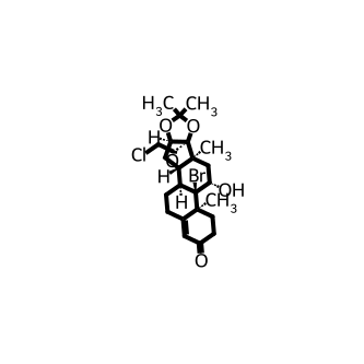 CC1(C)O[C@@H]2C[C@H]3[C@@H]4CCC5=CC(=O)CC[C@]5(C)[C@@]4(Br)[C@@H](O)C[C@]3(C)[C@]2(C(=O)CCl)O1